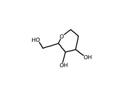 OCC1OCCC(O)C1O